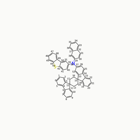 c1ccc2c(c1)-c1ccccc1C21CCC2(CC1)c1ccccc1-c1ccc(N(c3ccc4ccccc4c3)c3ccc4sc5ccccc5c4c3)cc12